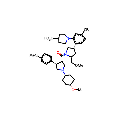 CCO[C@H]1CC[C@H](N2C[C@@H](C(=O)N3C[C@H](c4ccc(C(F)(F)F)cc4N4CCC(C(=O)O)CC4)C[C@H]3COC)[C@H](c3ccc(OC)cc3)C2)CC1